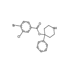 O=C(OC1(c2ccccc2)CCNCC1)c1ccc(Br)c(Cl)c1